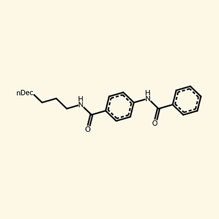 CCCCCCCCCCCCCNC(=O)c1ccc(NC(=O)c2ccccc2)cc1